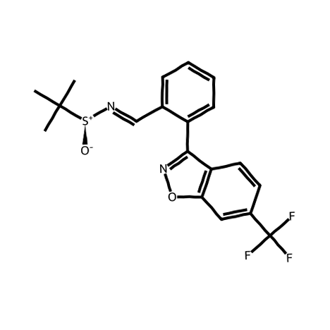 CC(C)(C)[S@+]([O-])/N=C/c1ccccc1-c1noc2cc(C(F)(F)F)ccc12